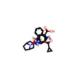 O=C(O)c1ccc2nc(N3C4CCC3CC(NCc3c(-c5ccccc5C(F)(F)F)noc3C3CC3)C4)oc2c1